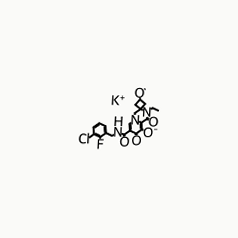 CCN1C(=O)c2c([O-])c(=O)c(C(=O)NCc3cccc(Cl)c3F)cn2CC12CC(OC)C2.[K+]